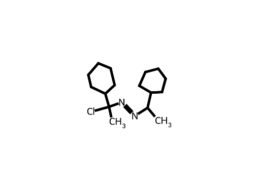 CC(/N=N/C(C)(Cl)C1CCCCC1)C1CCCCC1